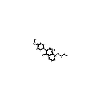 CCCOc1cccc2c(=O)c(-c3ccc(OC)cc3)c[nH]c12